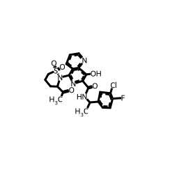 CC(=O)C1CCCS(=O)(=O)N1c1nc(C(=O)NC(C)c2ccc(F)c(Cl)c2)c(O)c2ncccc12